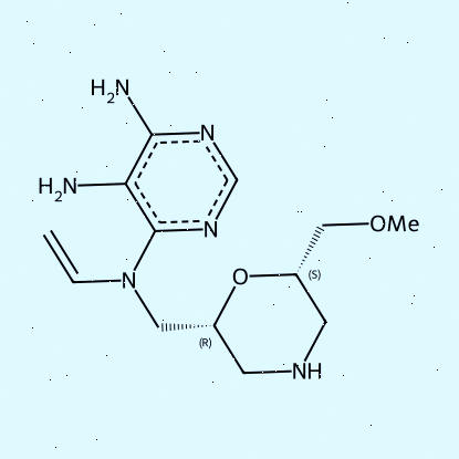 C=CN(C[C@H]1CNC[C@@H](COC)O1)c1ncnc(N)c1N